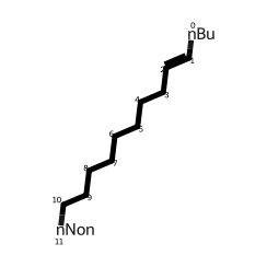 CCCCC=CCCCCCCCCCCCCCCCCC